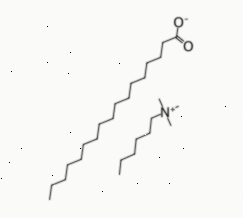 CCCCCCCCCCCCCCCCC(=O)[O-].CCCCCC[N+](C)(C)C